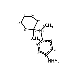 CC(=O)Nc1ccc(N(C)C2(C)CCCCC2)cc1